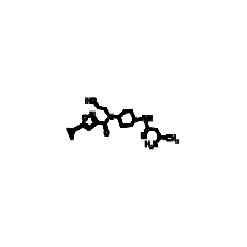 CC(N)CC(=O)NC1CCC(N(CCO)C(=O)c2cc(C3CC3)on2)CC1